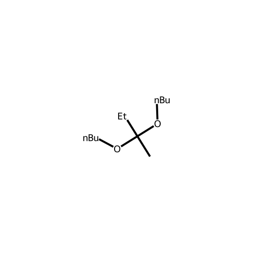 CCCCOC(C)(CC)OCCCC